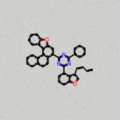 C=C/C=C\c1coc2cccc(-c3nc(-c4ccccc4)nc(-c4cc5oc6ccccc6c5c5c4ccc4ccccc45)n3)c12